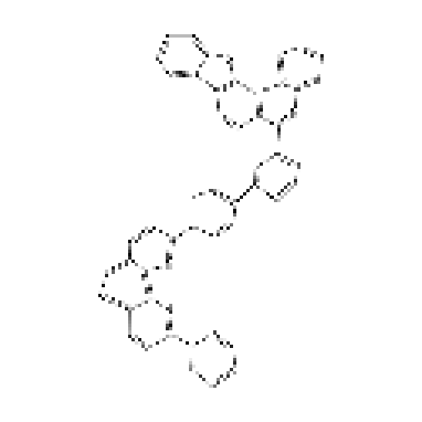 c1ccc(-c2ccc3ccc4ccc(-c5ccc(-c6cccc(-c7nc8ccccc8c8c7ccc7c9ccccc9sc78)c6)cc5)nc4c3n2)cc1